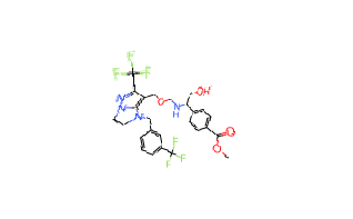 COC(=O)c1ccc(C(CO)NCOCc2c(C(F)(F)F)nn3c2N(Cc2cccc(C(F)(F)F)c2)CC3)cc1